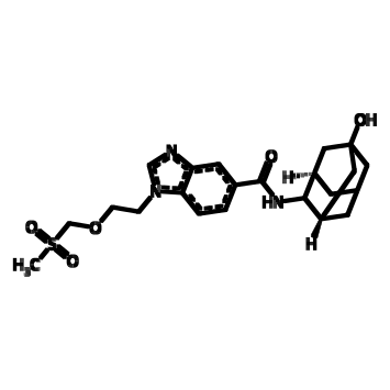 CS(=O)(=O)COCCn1cnc2cc(C(=O)NC3[C@@H]4CC5C[C@H]3CC(O)(C5)C4)ccc21